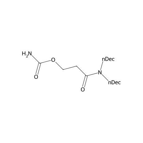 CCCCCCCCCCN(CCCCCCCCCC)C(=O)CCOC(N)=O